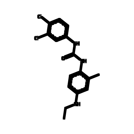 CCNc1ccc(NC(=O)Nc2ccc(Cl)c(Cl)c2)c(C)c1